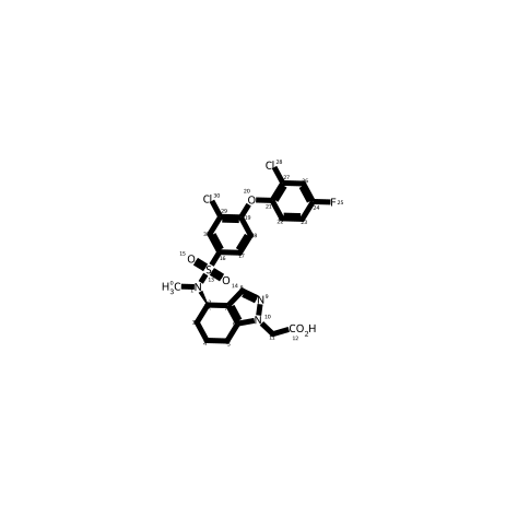 CN([C@@H]1CCCc2c1cnn2CC(=O)O)S(=O)(=O)c1ccc(Oc2ccc(F)cc2Cl)c(Cl)c1